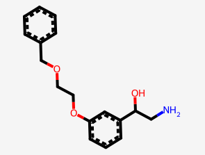 NCC(O)c1cccc(OCCOCc2ccccc2)c1